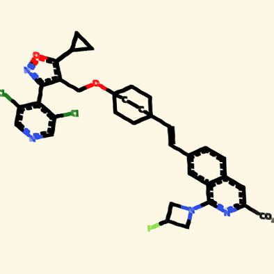 O=C(O)c1cc2ccc(/C=C/C34CCC(OCc5c(-c6c(Cl)cncc6Cl)noc5C5CC5)(CC3)CC4)cc2c(N2CC(F)C2)n1